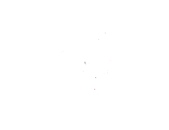 CCC/C(C(=O)OC)=C(/C(=O)OC)C(C)C